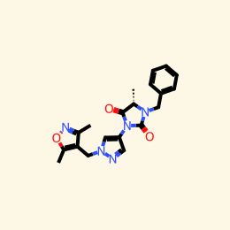 Cc1noc(C)c1Cn1cc(N2C(=O)[C@H](C)N(Cc3ccccc3)C2=O)cn1